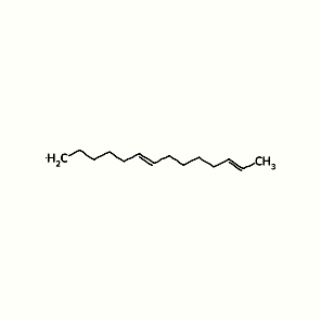 [CH2]CCCCC=CCCCCC=CC